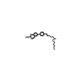 CCCCCOC(C)CCCC=Cc1ccc(-c2ccc3nc(O)ncc3c2)cc1